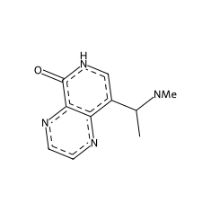 CNC(C)c1c[nH]c(=O)c2nccnc12